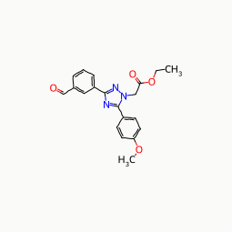 CCOC(=O)Cn1nc(-c2cccc(C=O)c2)nc1-c1ccc(OC)cc1